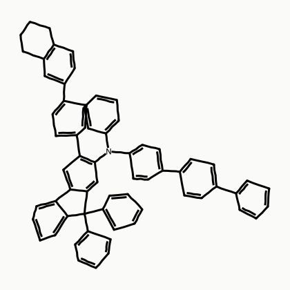 c1ccc(-c2ccc(-c3ccc(N(c4ccccc4)c4cc5c(cc4-c4ccc(-c6ccc7c(c6)CCCC7)cc4)-c4ccccc4C5(c4ccccc4)c4ccccc4)cc3)cc2)cc1